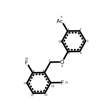 CC(=O)c1cccc(OCc2c(F)cccc2F)c1